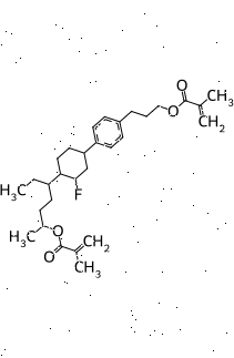 C=C(C)C(=O)OCCCc1ccc(C2CCC(C(CC)CCC(C)OC(=O)C(=C)C)C(F)C2)cc1